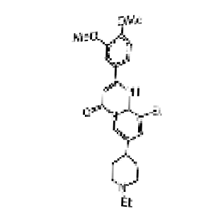 CCC1=CC(C2CCN(CC)CC2)=CN2C(=O)C=C(c3ccc(OC)c(OC)c3)PC12